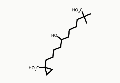 CC(C)(CCCCC(O)CCCCC1(C(=O)O)CC1)C(=O)O